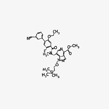 CCOc1cc(C(=O)N(C)Cc2cnc(C(=O)OC)c3cnn(COCC[Si](C)(C)C)c23)c(F)cc1-c1cccc(C#N)c1